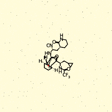 N#C[C@H](C[C@@H]1CCCNC1=O)NC(=O)[C@H]1[C@@H]2CC[C@@H](CC2(F)F)N1C(=O)[C@@H](CC1CC1)NC(=O)C(F)(F)F